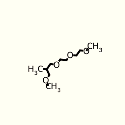 COCCOCCOCC(C)COC